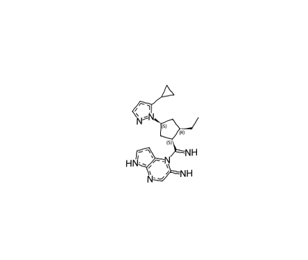 CC[C@@H]1C[C@H](n2nccc2C2CC2)C[C@@H]1C(=N)n1c(=N)cnc2[nH]ccc21